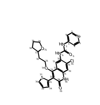 O=C(Nc1ccncc1)Nc1cc2c(OCCC3CCCO3)c(-c3cccs3)c(=O)[nH]c2cc1Cl